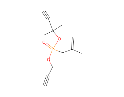 C#CCOP(=O)(CC(=C)C)OC(C)(C)C#C